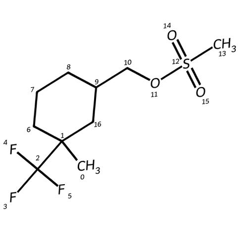 CC1(C(F)(F)F)CCCC(COS(C)(=O)=O)C1